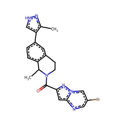 Cc1n[nH]cc1-c1ccc2c(c1)CCN(C(=O)c1cc3ncc(Br)cn3n1)C2C